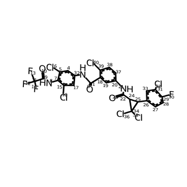 O=C(Nc1cc(Cl)c(NC(=O)C(F)(F)F)c(Cl)c1)c1cc(NC(=O)C2C(c3ccc(F)c(Cl)c3)C2(Cl)Cl)ccc1Cl